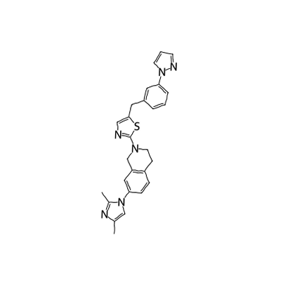 Cc1cn(-c2ccc3c(c2)CN(c2ncc(Cc4cccc(-n5cccn5)c4)s2)CC3)c(C)n1